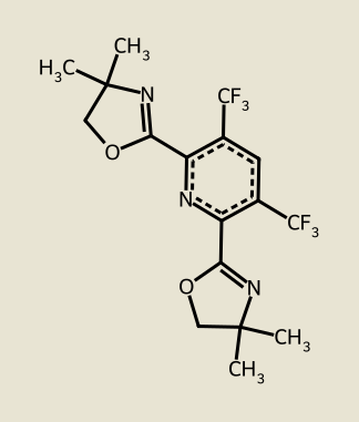 CC1(C)COC(c2nc(C3=NC(C)(C)CO3)c(C(F)(F)F)cc2C(F)(F)F)=N1